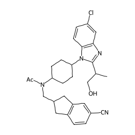 CC(=O)N(CC1Cc2ccc(C#N)cc2C1)C1CCC(n2c(C(C)CO)nc3cc(Cl)ccc32)CC1